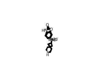 Cl.Cl.Cl.O=c1[nH]c2ccc(NC3CC4(CCNCC4)C3)cc2o1